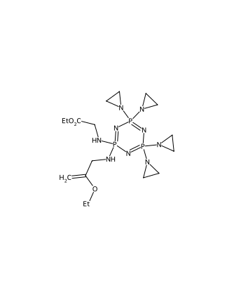 C=C(CNP1(NCC(=O)OCC)=NP(N2CC2)(N2CC2)=NP(N2CC2)(N2CC2)=N1)OCC